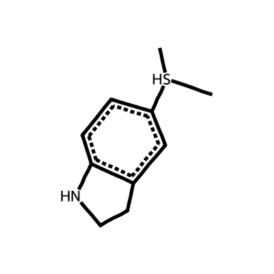 C[SH](C)c1ccc2c(c1)CCN2